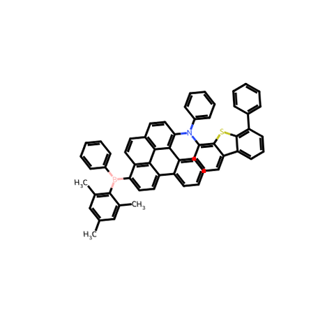 Cc1cc(C)c(B(c2ccccc2)c2ccc3c4ccccc4c4c(N(c5ccccc5)c5cccc6c5sc5c(-c7ccccc7)cccc56)ccc5ccc2c3c54)c(C)c1